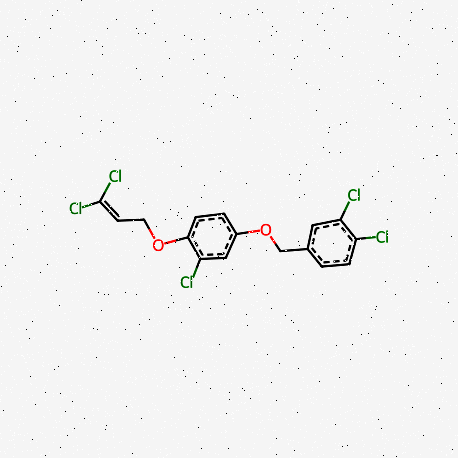 ClC(Cl)=CCOc1ccc(OCc2ccc(Cl)c(Cl)c2)cc1Cl